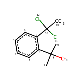 CC(C)([O])c1ccccc1C(Cl)(Cl)C(Cl)(Cl)Cl